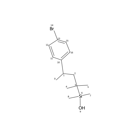 CC(CC(C)(C)[Si](C)(C)O)c1ccc(Br)cc1